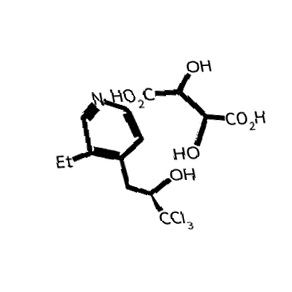 CCc1cnccc1C[C@@H](O)C(Cl)(Cl)Cl.O=C(O)C(O)C(O)C(=O)O